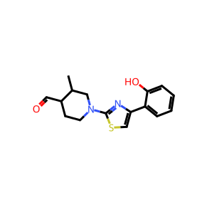 CC1CN(c2nc(-c3ccccc3O)cs2)CCC1C=O